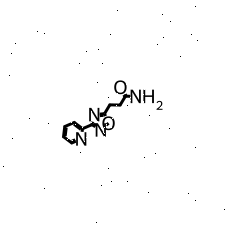 NC(=O)CCc1nc(-c2ccccn2)no1